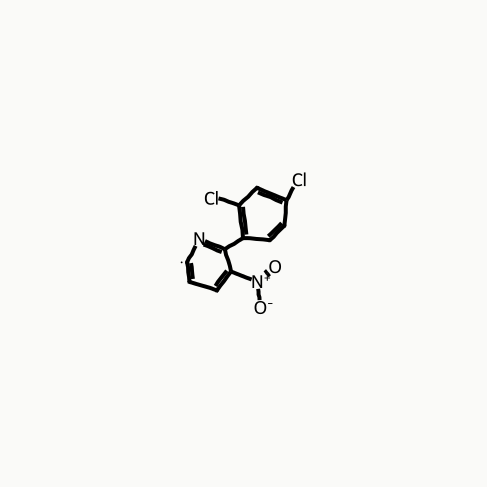 O=[N+]([O-])c1cc[c]nc1-c1ccc(Cl)cc1Cl